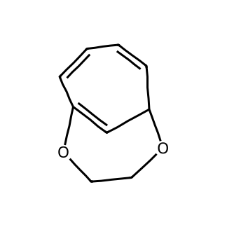 C1=CC2=CC(C=C1)OCCO2